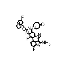 N#Cc1c(N)sc2c(F)ccc(-c3c(Cl)cc4c(N5CCCC(=O)CC5)nc(OC[C@@]56CCCN5C[C@H](F)C6)nc4c3F)c12